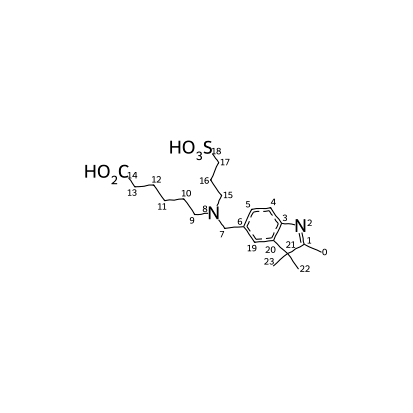 CC1=Nc2ccc(CN(CCCCCC(=O)O)CCCS(=O)(=O)O)cc2C1(C)C